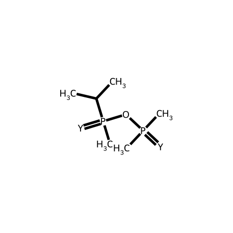 CC(C)[P](C)(=[Y])O[P](C)(C)=[Y]